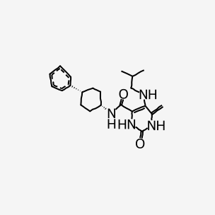 C=C1NC(=O)NC(C(=O)N[C@H]2CC[C@@H](c3ccccc3)CC2)=C1NCC(C)C